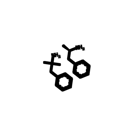 CC(C)(N)Cc1ccccc1.C[C@@H](N)Cc1ccccc1